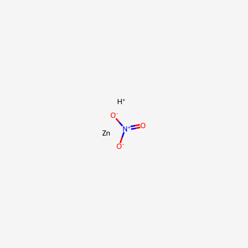 O=[N+]([O-])[O-].[H+].[Zn]